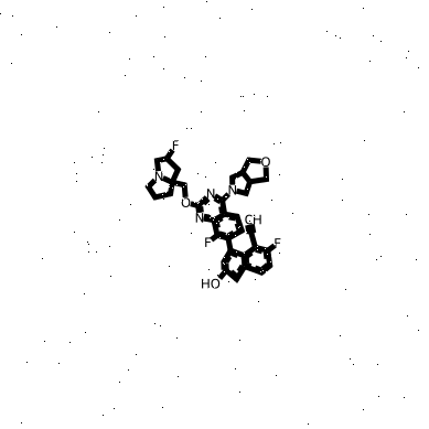 C#Cc1c(F)ccc2cc(O)cc(-c3ccc4c(N5CC6COCC6C5)nc(OCC56CCCN5CC(F)C6)nc4c3F)c12